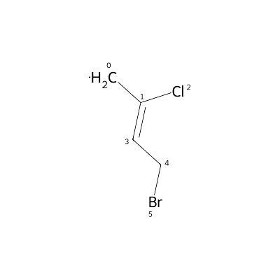 [CH2]C(Cl)=CCBr